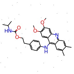 COc1cc2nc3cc(C)c(C)cc3c(Nc3ccc(CCOC(=O)NC(C)C)cc3)c2cc1OC